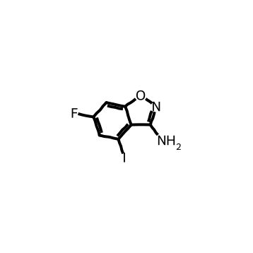 Nc1noc2cc(F)cc(I)c12